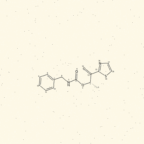 C[C@H](OC(=O)NCc1ccccc1)C(=O)c1nccs1